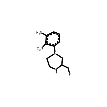 Nc1cccc(N2CCNC(CF)C2)c1[N+](=O)[O-]